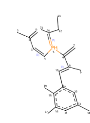 C=C(C)/C=C\[PH](C(=C)/C(C)=C/c1cc(C)cc(C)c1C)=C(/C)CC